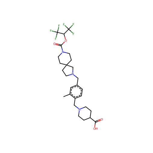 Cc1cc(CN2CCC3(CCN(C(=O)OC(C(F)(F)F)C(F)(F)F)CC3)C2)ccc1CN1CCC(C(=O)O)CC1